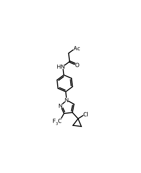 CC(=O)CC(=O)Nc1ccc(-n2cc(C3(Cl)CC3)c(C(F)(F)F)n2)cc1